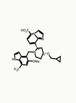 COc1cc(C)c2[nH]ccc2c1CN1CC[C@@H](OCC2CC2)C[C@@H]1c1ccc(C(=O)O)n2ccnc12